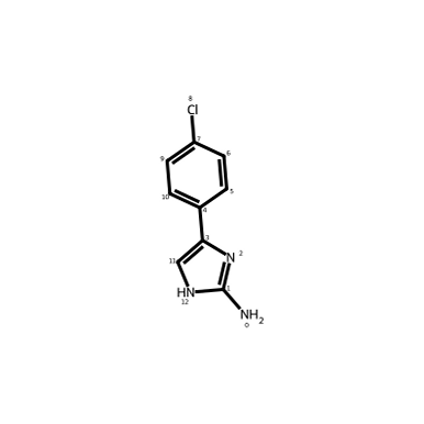 Nc1nc(-c2ccc(Cl)cc2)c[nH]1